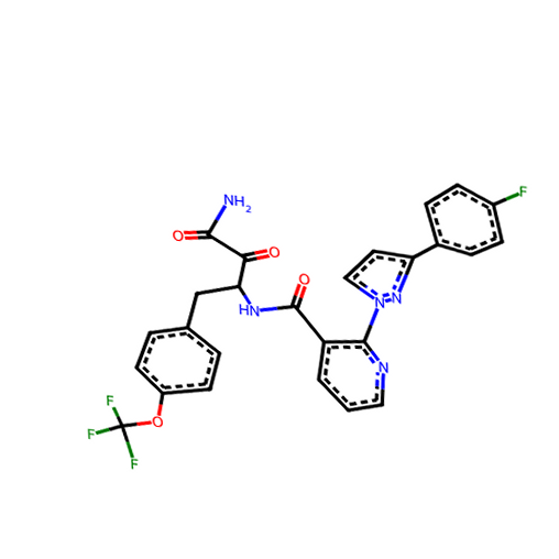 NC(=O)C(=O)C(Cc1ccc(OC(F)(F)F)cc1)NC(=O)c1cccnc1-n1ccc(-c2ccc(F)cc2)n1